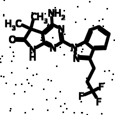 CC1(C)C(=O)Nc2nc(-n3nc(CCC(F)(F)F)c4ccccc43)nc(N)c21